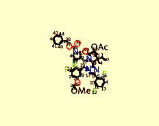 C=CC(C)(C)[C@H](c1nc(-c2cc(F)ccc2F)cn1Cc1cc(F)cc(OCOC)c1)N(C[C@@H]1CN(C(=O)OCc2ccccc2)C[C@@H]1F)C(=O)[C@H](C)OC(C)=O